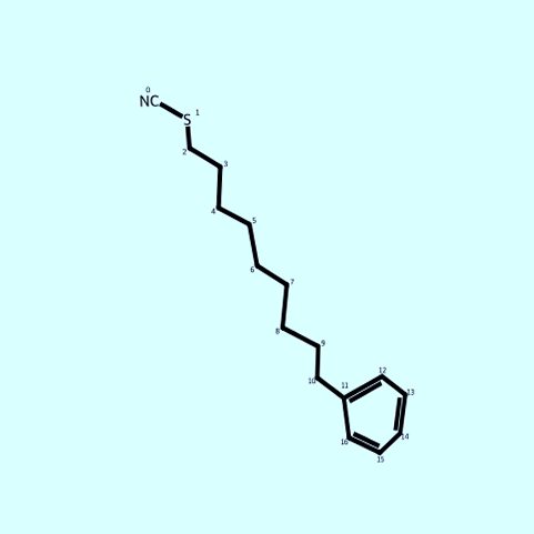 N#CSCCCCCCCCCc1ccccc1